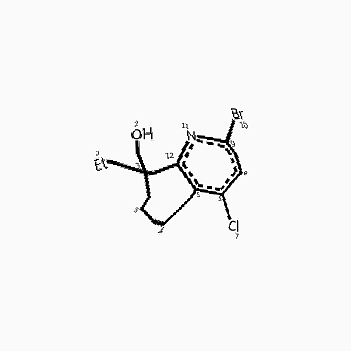 CCC1(O)CCc2c(Cl)cc(Br)nc21